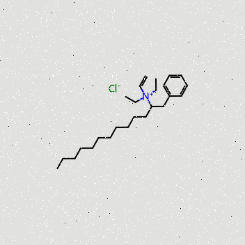 C=C[N+](CC)(CC)C(CCCCCCCCCCC)Cc1ccccc1.[Cl-]